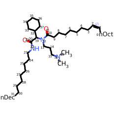 CCCCCCCC/C=C\CCCCCCCC(=O)N(CCCN(C)C)C(C(=O)NCCCCCCCCCCCCCCCCCC)C1CCCCC1